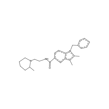 Cc1c(C)n(Cc2ccccc2)c2ccc(C(=O)NCCN3CCCCC3C)cc12